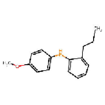 CCCc1ccccc1Pc1ccc(OC)cc1